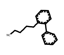 N#CCCCCc1ccccc1-c1ccccc1